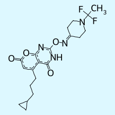 CC(F)(F)N1CCC(=NOc2nc3oc(=O)cc(CCCC4CC4)c3c(=O)[nH]2)CC1